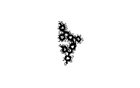 Cc1ccc(C(=Cc2ccc(N3c4ccc(/C=C(\c5ccccc5)c5ccc(C)cc5)cc4C4CCCC43)cc2)c2ccc(C)cc2)cc1